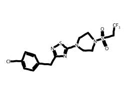 O=S(=O)(CC(F)(F)F)N1CCN(c2nc(Cc3ccc(Cl)cc3)ns2)CC1